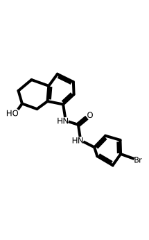 O=C(Nc1ccc(Br)cc1)Nc1cccc2c1CC(O)CC2